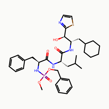 COP(=O)(N[C@@H](Cc1ccccc1)C(=O)N[C@@H](CC(C)C)C(=O)N[C@@H](CC1CCCCC1)[C@@H](O)c1nccs1)OCc1ccccc1